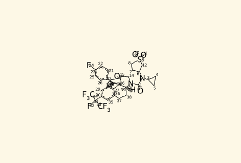 O=C(N(C1CC1)C1CCS(=O)(=O)C1)N1CC[C@@]2(S(=O)(=O)c3ccc(F)cc3)c3ccc(C(F)(C(F)(F)F)C(F)(F)F)cc3CC[C@@H]12